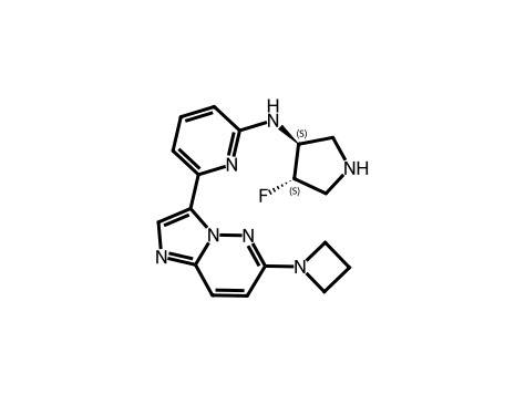 F[C@H]1CNC[C@@H]1Nc1cccc(-c2cnc3ccc(N4CCC4)nn23)n1